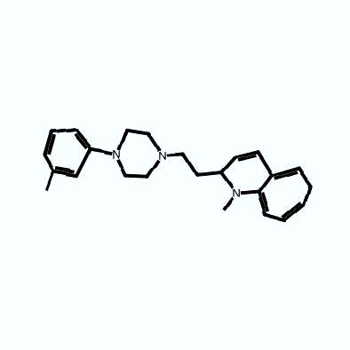 Cc1cccc(N2CCN(CCC3C=CC4=CCC=CC=C4N3C)CC2)c1